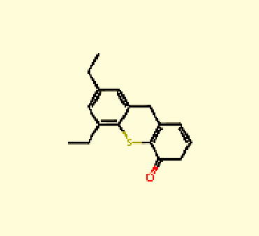 CCc1cc(CC)c2c(c1)CC1=C(S2)C(=O)CC=C1